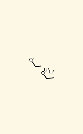 CC[O-].CC[O-].[Li+].[Li+]